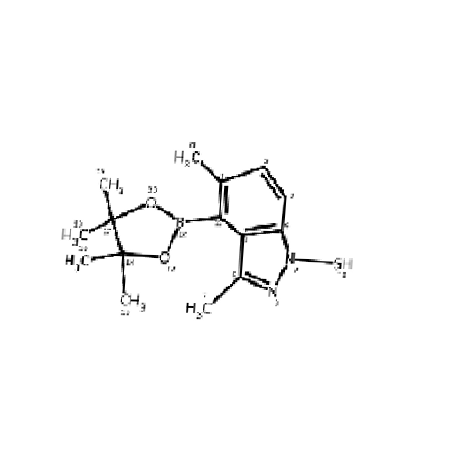 Cc1ccc2c(c(C)nn2S)c1B1OC(C)(C)C(C)(C)O1